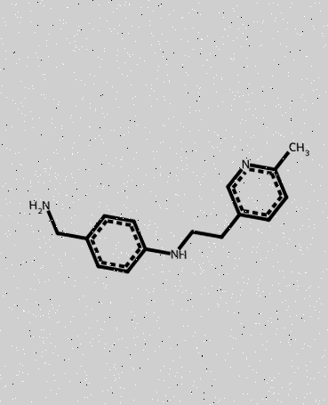 Cc1ccc(CCNc2ccc(CN)cc2)cn1